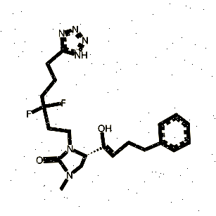 CN1C[C@@H](C(O)=CCCc2ccccc2)N(CCC(F)(F)CCCc2nnn[nH]2)C1=O